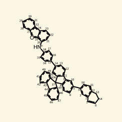 C1=Cc2cc(-c3ccc4c(c3)-c3ccc(-c5ccc(Nc6cccc7c6oc6ccccc67)cc5)cc3C43c4ccccc4-c4ccccc43)ccc2CC1